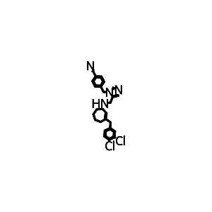 N#Cc1ccc(Cn2cncc2CNC2C=C(Cc3ccc(Cl)c(Cl)c3)CCCC2)cc1